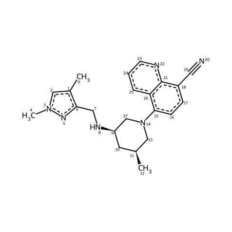 Cc1cn(C)nc1CN[C@@H]1C[C@H](C)CN(c2ccc(C#N)c3ncccc23)C1